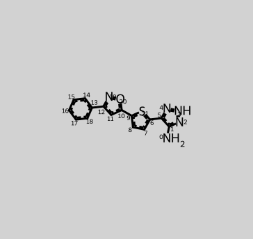 Nc1n[nH]nc1-c1ccc(-c2cc(-c3ccccc3)no2)s1